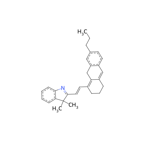 CCCc1ccc2c(c1)CC1=C(/C=C/C3=Nc4ccccc4C3(C)C)CCCC1=C2